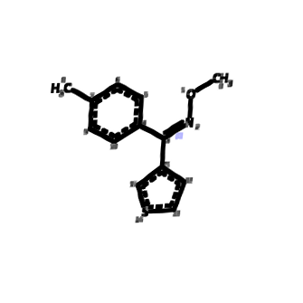 CO/N=C(\c1ccc(C)cc1)c1ccsc1